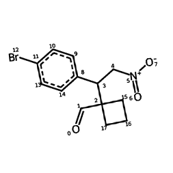 O=CC1(C(C[N+](=O)[O-])c2ccc(Br)cc2)CCC1